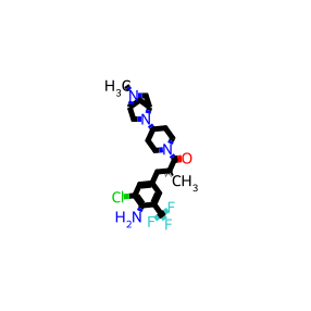 C[C@H](Cc1cc(Cl)c(N)c(C(F)(F)F)c1)C(=O)N1CCC(N2CC3CC2CN3C)CC1